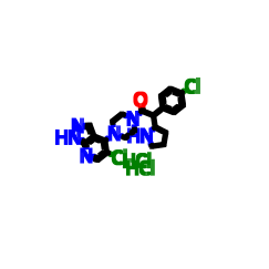 Cl.Cl.O=C(C(c1ccc(Cl)cc1)C1CCCN1)N1CCN(c2c(Cl)cnc3[nH]ncc23)CC1